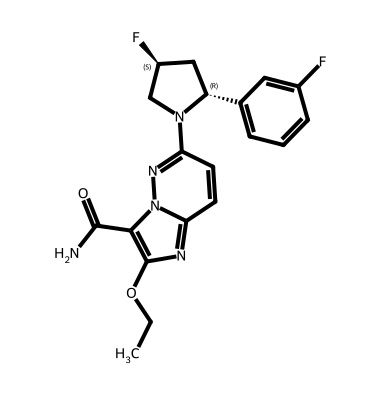 CCOc1nc2ccc(N3C[C@@H](F)C[C@@H]3c3cccc(F)c3)nn2c1C(N)=O